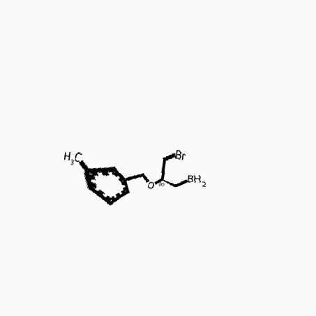 BC[C@H](CBr)OCc1cccc(C)c1